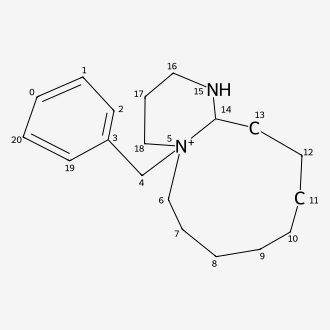 c1ccc(C[N+]23CCCCCCCCC2NCCC3)cc1